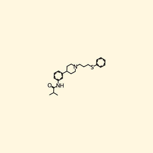 CC(C)C(=O)Nc1cccc(C2CCN(CCCSc3ccccc3)CC2)c1